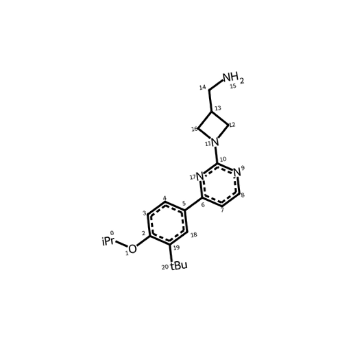 CC(C)Oc1ccc(-c2ccnc(N3CC(CN)C3)n2)cc1C(C)(C)C